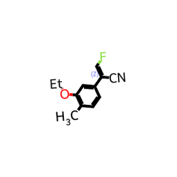 CCOc1cc(/C(C#N)=C/F)ccc1C